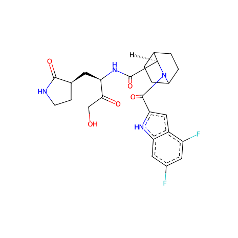 O=C1NCC[C@@H]1C[C@@H](NC(=O)[C@H]1C2CCC(CC2)N1C(=O)c1cc2c(F)cc(F)cc2[nH]1)C(=O)CO